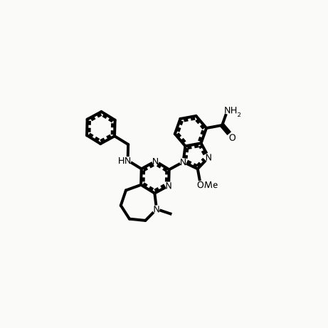 COc1nc2c(C(N)=O)cccc2n1-c1nc(NCc2ccccc2)c2c(n1)N(C)CCCC2